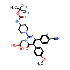 COc1ccc(-c2c(-c3ccc(C#N)c(F)c3)nc(N3CCC(NC(=O)OC(C)(C)C)CC3)n(CC(O)O)c2=O)cc1